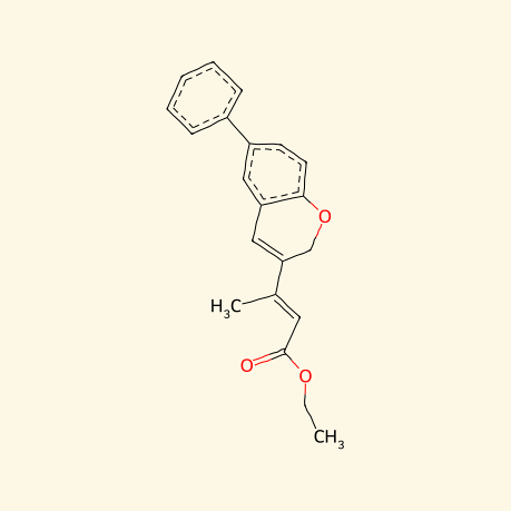 CCOC(=O)C=C(C)C1=Cc2cc(-c3ccccc3)ccc2OC1